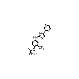 CCCCCCC(C)Oc1ccc(Nc2nc(-c3cccnc3)cs2)cc1C(F)(F)F